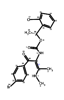 CN/C(C)=C(/NC(=O)O[C@H](C)c1ccccc1Cl)C(=O)c1ccc(Br)cc1